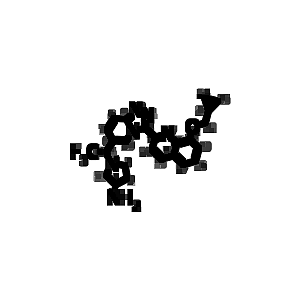 N[C@@H]1CCN([C@H](c2ccc3nnc(-c4ccc5cccc(OCC6CC6)c5n4)n3c2)C(F)(F)F)C1